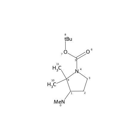 CNC1CCN(C(=O)OC(C)(C)C)C1(C)C